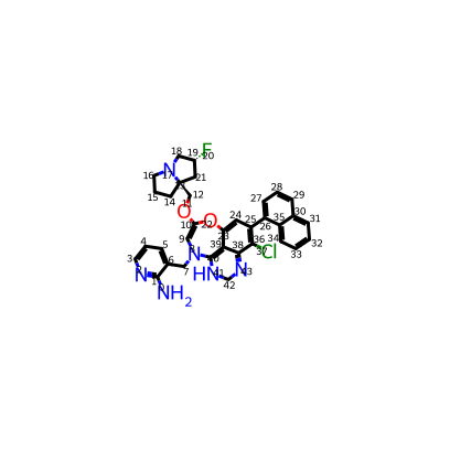 Nc1ncccc1CN1C=C(OC[C@@]23CCCN2C[C@H](F)C3)Oc2cc(-c3cccc4ccccc34)c(Cl)c3c2=C1NCN=3